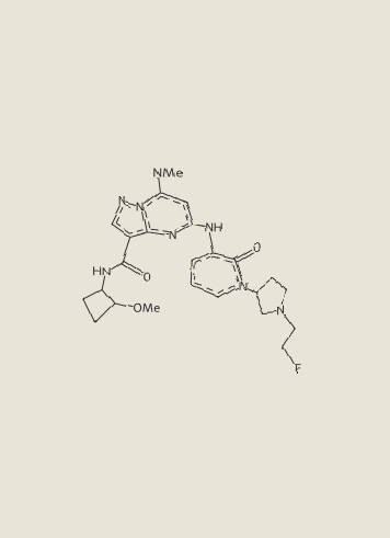 CNc1cc(Nc2cccn(C3CCN(CCF)C3)c2=O)nc2c(C(=O)NC3CCC3OC)cnn12